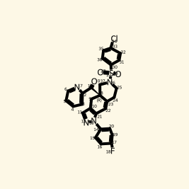 O=C(c1ccccn1)[C@]12Cc3cnn(-c4ccc(F)cc4)c3C=C1CCN(S(=O)(=O)c1ccc(Cl)cc1)C2